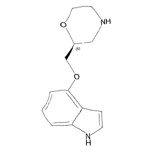 c1cc(OC[C@@H]2CNCCO2)c2cc[nH]c2c1